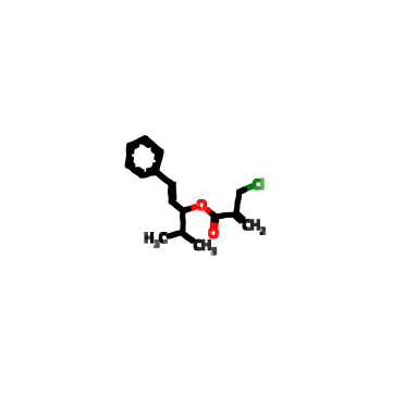 C=C(CCl)C(=O)OC(C=Cc1ccccc1)C(C)C